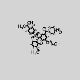 COc1ccccc1Oc1c(OCCO)cc(C(=O)N2CCN(C=O)CC2)cc1OS(=O)(=O)c1ccc(C(C)C)cn1